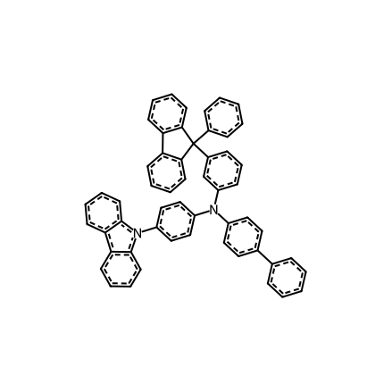 c1ccc(-c2ccc(N(c3ccc(-n4c5ccccc5c5ccccc54)cc3)c3cccc(C4(c5ccccc5)c5ccccc5-c5ccccc54)c3)cc2)cc1